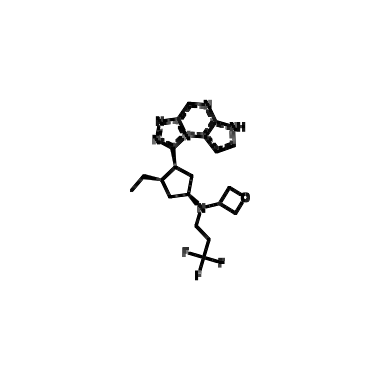 CC[C@@H]1C[C@H](N(CCC(F)(F)F)C2COC2)C[C@@H]1c1nnc2cnc3[nH]ccc3n12